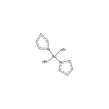 CC[CH2][Ru]([CH2]CC)([n]1cccc1)[n]1cccc1